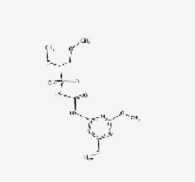 [CH2]OCC(OC)S(=O)(=O)NC(=O)Nc1nc(OC)cc(OC)n1